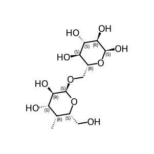 C[C@@H]1[C@H](O)[C@@H](O)[C@@H](OC[C@H]2O[C@H](O)[C@H](O)[C@@H](O)[C@@H]2O)O[C@@H]1CO